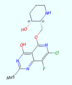 CSc1nc(O)c2c(OC[C@H]3NCCC[C@H]3O)nc(Cl)c(F)c2n1